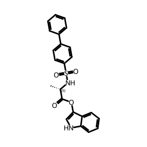 C[C@H](NS(=O)(=O)c1ccc(-c2ccccc2)cc1)C(=O)Oc1c[nH]c2ccccc12